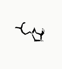 CC(C)CN1CNC(=O)C1